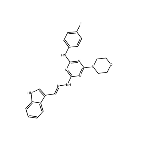 Fc1ccc(Nc2nc(NN=Cc3c[nH]c4ccccc34)nc(N3CCOCC3)n2)cc1